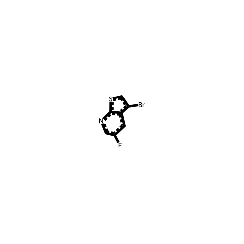 Fc1cnc2scc(Br)c2c1